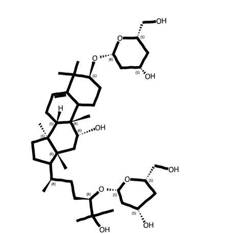 C[C@H](CC[C@@H](O[C@H]1C[C@@H](O)C[C@@H](CO)O1)C(C)(C)O)C1CC[C@@]2(C)[C@@H]3CC=C4C(CC[C@H](O[C@H]5C[C@@H](O)C[C@@H](CO)O5)C4(C)C)[C@]3(C)[C@H](O)C[C@]12C